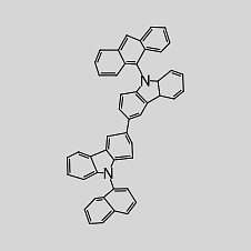 C1=CC2c3cc(-c4ccc5c(c4)c4ccccc4n5-c4cccc5ccccc45)ccc3N(c3c4ccccc4cc4ccccc34)C2C=C1